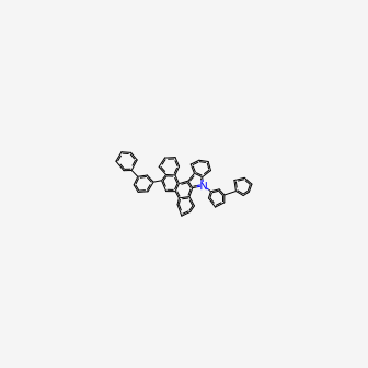 c1ccc(-c2cccc(-c3cc4c5ccccc5c5c(c6ccccc6n5-c5cccc(-c6ccccc6)c5)c4c4ccccc34)c2)cc1